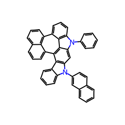 c1ccc(-n2c3cccc4c3c3c(c5c6ccccc6n(-c6ccc7ccccc7c6)c5cc32)-c2cccc3cccc-4c23)cc1